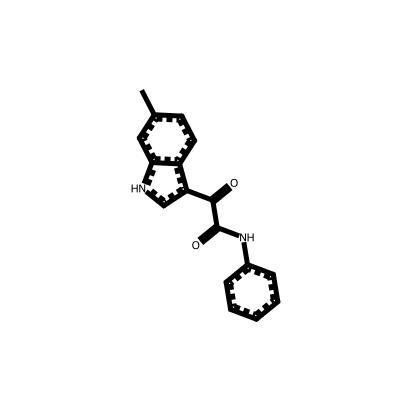 Cc1ccc2c(C(=O)C(=O)Nc3ccccc3)c[nH]c2c1